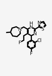 CC1CCCN(CC2=C(CCF)C(c3ccc(F)cc3Cl)N=C(c3nccs3)N2)CC1